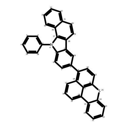 c1ccc(-n2c3ccc(-c4ccc5c6c(cccc46)-c4ccccc4S5)cc3c3ccc4ccccc4c32)cc1